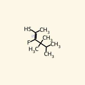 C/C(S)=C(/F)C(C)(C)C(C)C